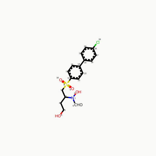 O=CN(O)C(CCO)CS(=O)(=O)c1ccc(-c2ccc(Cl)cc2)cc1